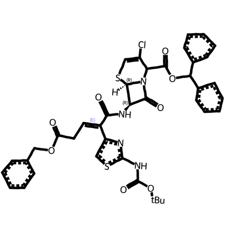 CC(C)(C)OC(=O)Nc1nc(/C(=C\CC(=O)OCc2ccccc2)C(=O)N[C@@H]2C(=O)N3C(C(=O)OC(c4ccccc4)c4ccccc4)C(Cl)=CS[C@H]23)cs1